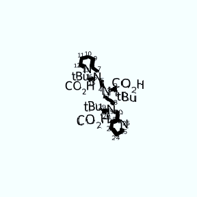 CC(C)(C)C(C(=O)O)N(CCN(Cc1ccccn1)C(C(=O)O)C(C)(C)C)CCN(Cc1ccccn1)C(C(=O)O)C(C)(C)C